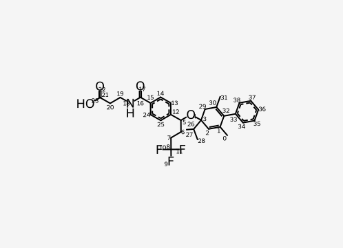 CC1=CC(OC(CCC(F)(F)F)c2ccc(C(=O)NCCC(=O)O)cc2)(C(C)C)CC(C)=C1c1ccccc1